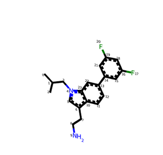 CC(C)Cn1cc(CCN)c2ccc(-c3cc(F)cc(F)c3)cc21